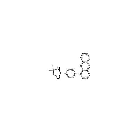 CC1(C)COC(c2ccc(-c3cccc4cc5ccccc5cc34)cc2)=N1